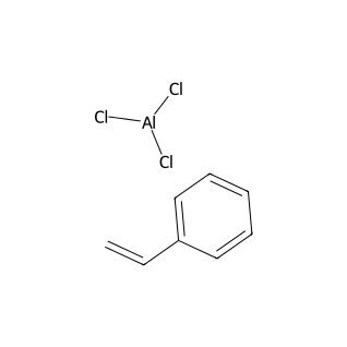 C=Cc1ccccc1.[Cl][Al]([Cl])[Cl]